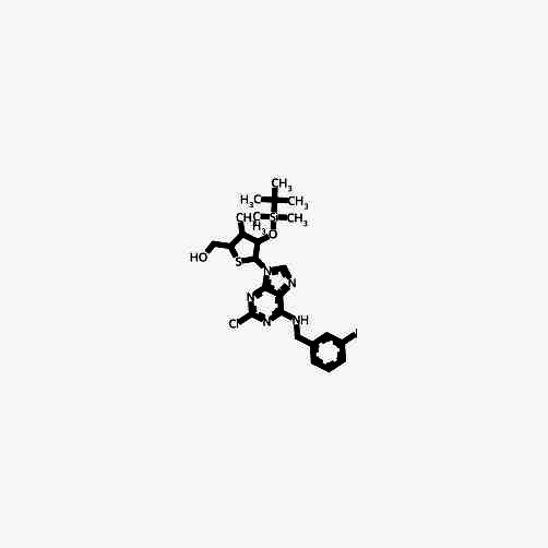 CC1C(CO)SC(n2cnc3c(NCc4cccc(I)c4)nc(Cl)nc32)C1O[Si](C)(C)C(C)(C)C